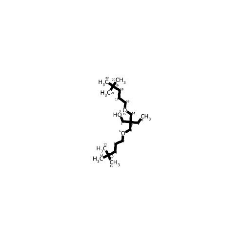 CCC(CO)(COCCCC(C)(C)C)COCCCC(C)(C)C